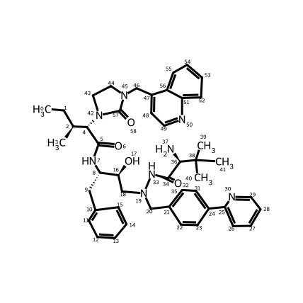 CC[C@H](C)[C@@H](C(=O)N[C@@H](Cc1ccccc1)[C@@H](O)CN(Cc1ccc(-c2ccccn2)cc1)NC(=O)[C@@H](N)C(C)(C)C)N1CCN(Cc2ccnc3ccccc23)C1=O